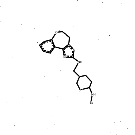 CCNC1CCC(CNc2nc3c(s2)CCOc2ccccc2-3)CC1